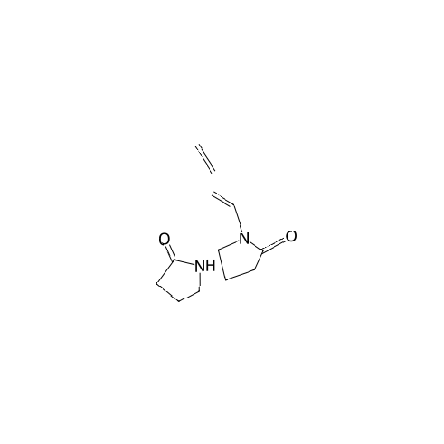 C=C.C=CN1CCCC1=O.O=C1CCCN1